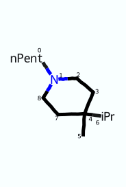 CCCCCN1CCC(C)(C(C)C)CC1